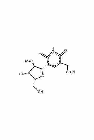 CO[C@@H]1[C@@H](O)[C@@H](CO)O[C@H]1n1cc(CC(=O)O)c(=O)[nH]c1=O